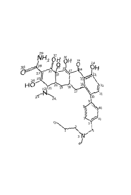 CCCN(C)Cc1ccc(-c2ccc(O)c3c2CC2CC4C(N(C)C)C(O)=C(C(N)=O)C(=O)C4(O)C(O)=C2C3=O)cc1